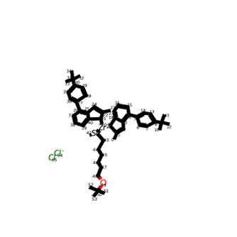 CC1=Cc2c(-c3ccc(C(C)(C)C)cc3)cccc2[CH]1[Zr+2]([CH]1C(C)=Cc2c(-c3ccc(C(C)(C)C)cc3)cccc21)=[Si](C)CCCCCCOC(C)(C)C.[Cl-].[Cl-]